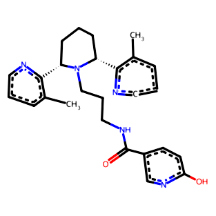 Cc1cccnc1[C@H]1CCC[C@@H](c2ncccc2C)N1CCCNC(=O)c1ccc(O)nc1